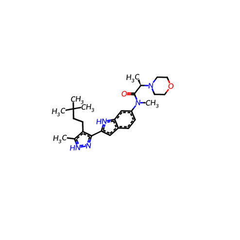 Cc1[nH]nc(-c2cc3ccc(N(C)C(=O)[C@@H](C)N4CCOCC4)cc3[nH]2)c1CCC(C)(C)C